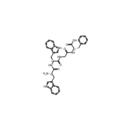 N[C@@H](Cc1c[nH]c2ccccc12)C(=O)N[C@@H](Cc1c[nH]c2ccccc12)C(=O)NCC(=O)N[C@@H](Cc1ccccc1)C(=O)O